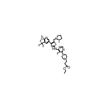 CCOC(=O)CCN1CCN(c2ncnc(Nc3nc(-c4cnc(OC)c(C(F)(F)F)c4)c(CN4CCC[C@H]4C)s3)c2F)CC1